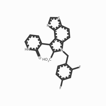 O=C(O)c1c(-c2ccc[nH]c2=O)c2c3ncsc3ccc2n1Cc1ccc(F)cc1F